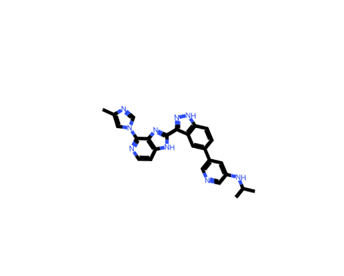 Cc1cn(-c2nccc3[nH]c(-c4n[nH]c5ccc(-c6cncc(NC(C)C)c6)cc45)nc23)cn1